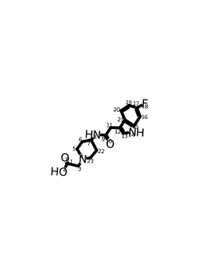 O=C(O)CN1CCC(NC(=O)Cc2c[nH]c3cc(F)ccc23)CC1